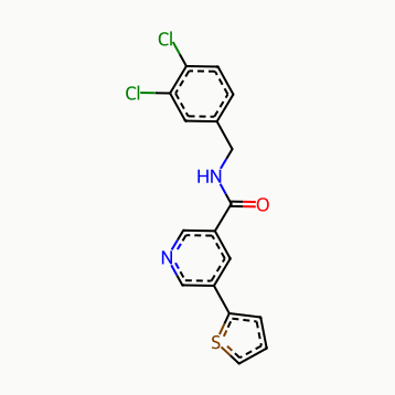 O=C(NCc1ccc(Cl)c(Cl)c1)c1cncc(-c2cccs2)c1